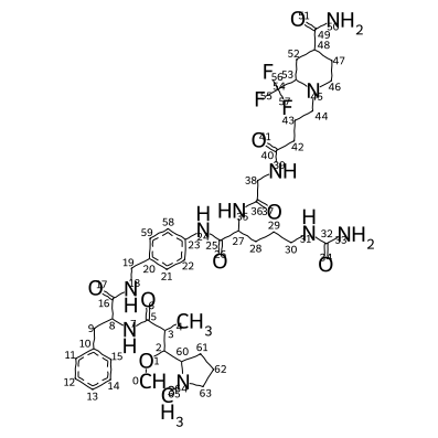 COC(C(C)C(=O)NC(Cc1ccccc1)C(=O)NCc1ccc(NC(=O)C(CCCNC(N)=O)NC(=O)CNC(=O)CCCN2CCC(C(N)=O)CC2C(F)(F)F)cc1)C1CCCN1C